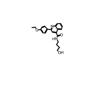 CCOc1ccc(-c2cc(C(=O)NCCCCO)c3ccccc3n2)cc1